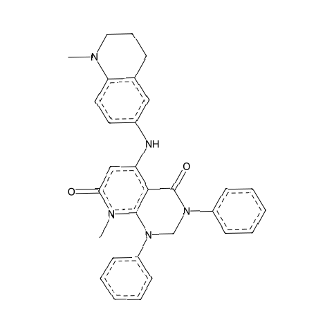 CN1CCCc2cc(Nc3cc(=O)n(C)c4c3C(=O)N(c3ccccc3)CN4c3ccccc3)ccc21